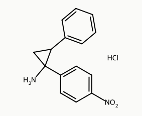 Cl.NC1(c2ccc([N+](=O)[O-])cc2)CC1c1ccccc1